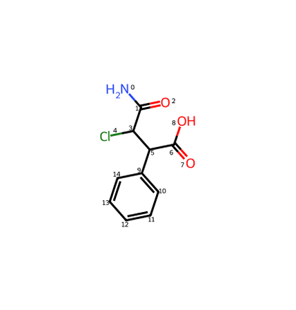 NC(=O)C(Cl)C(C(=O)O)c1ccccc1